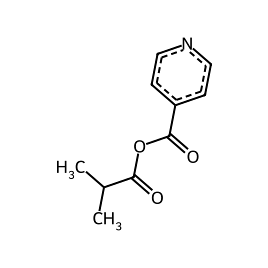 CC(C)C(=O)OC(=O)c1ccncc1